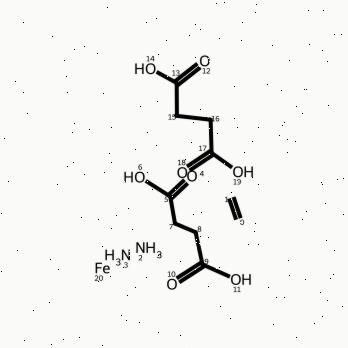 C=C.N.N.O=C(O)CCC(=O)O.O=C(O)CCC(=O)O.[Fe]